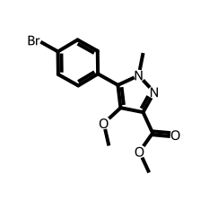 COC(=O)c1nn(C)c(-c2ccc(Br)cc2)c1OC